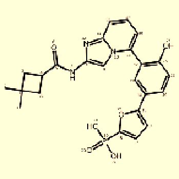 CC1(C)CC(C(=O)Nc2cn3c(-c4cc(-c5ccc(P(=O)(O)O)o5)ccc4O)cccc3n2)C1